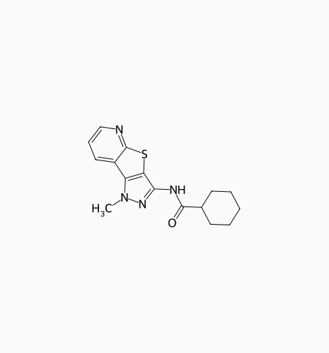 Cn1nc(NC(=O)C2CCCCC2)c2sc3ncccc3c21